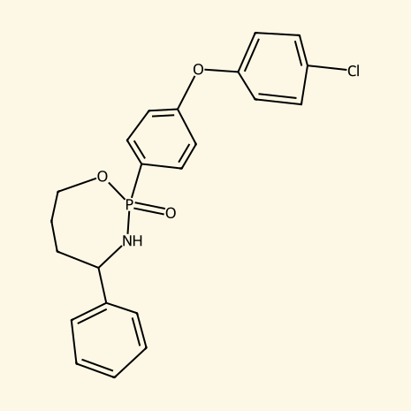 O=P1(c2ccc(Oc3ccc(Cl)cc3)cc2)NC(c2ccccc2)CCCO1